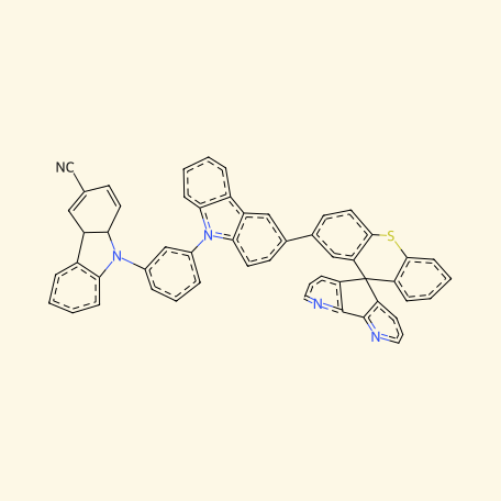 N#CC1=CC2c3ccccc3N(c3cccc(-n4c5ccccc5c5cc(-c6ccc7c(c6)C6(c8ccccc8S7)c7cccnc7-c7ncccc76)ccc54)c3)C2C=C1